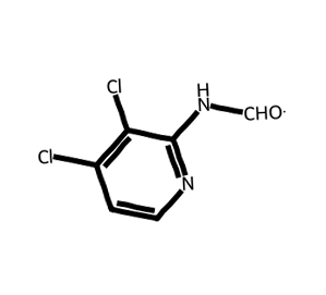 O=[C]Nc1nccc(Cl)c1Cl